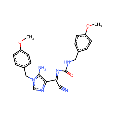 COc1ccc(CNC(=O)/N=C(\C#N)c2ncn(Cc3ccc(OC)cc3)c2N)cc1